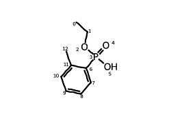 CCOP(=O)(O)c1ccccc1C